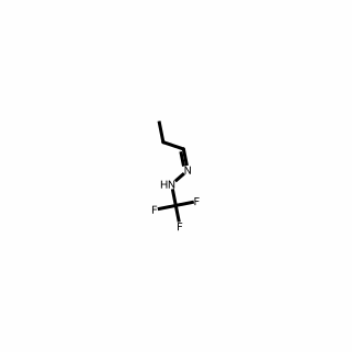 CC/C=N\NC(F)(F)F